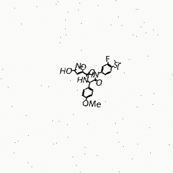 COc1ccc(C(NC(=O)c2cc(O)no2)C(=O)Nc2ccc([Si](C)(C)C)c(F)c2)cc1